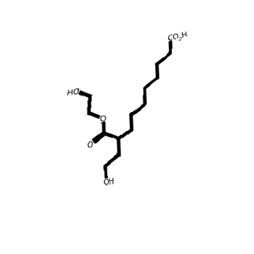 O=C(O)CCCCCCCC(CCO)C(=O)OCCO